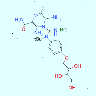 CCCCN(C(=N)N1C(N)=C(C(N)=O)N=C(Cl)C1N)c1ccc(OCC(O)C(O)CO)cc1.Cl